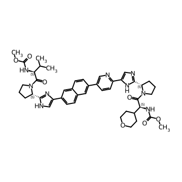 COC(=O)N[C@H](C(=O)N1CCC[C@H]1c1nc(-c2ccc3cc(-c4ccc(-c5cnc([C@@H]6CCCN6C(=O)[C@@H](NC(=O)OC)C6CCOCC6)[nH]5)nc4)ccc3c2)c[nH]1)C(C)C